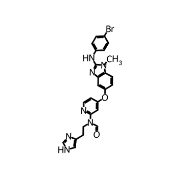 Cn1c(Nc2ccc(Br)cc2)nc2cc(Oc3ccnc(N(C=O)CCc4c[nH]cn4)c3)ccc21